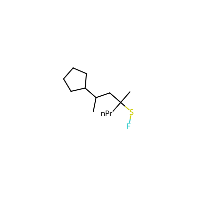 CCCC(C)(CC(C)C1CCCC1)SF